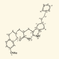 COc1ccc2c(c1)OC(CC(Cc1c[nH]c3ccc(OCc4ccccc4)cc13)C(N)=O)CO2